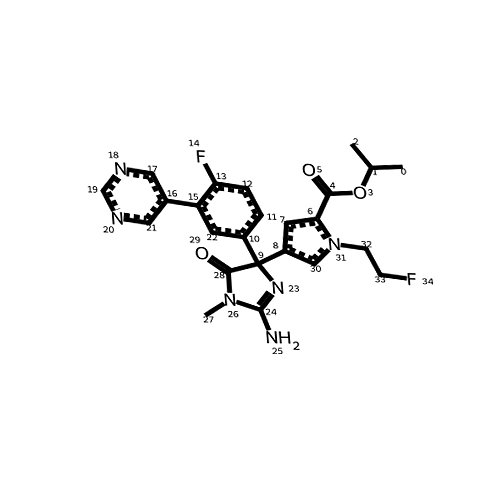 CC(C)OC(=O)c1cc(C2(c3ccc(F)c(-c4cncnc4)c3)N=C(N)N(C)C2=O)cn1CCF